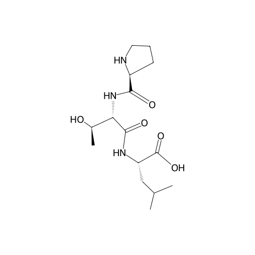 CC(C)C[C@H](NC(=O)[C@@H](NC(=O)[C@@H]1CCCN1)[C@@H](C)O)C(=O)O